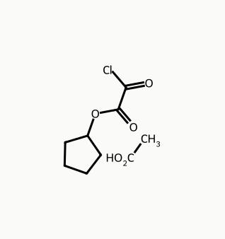 CC(=O)O.O=C(Cl)C(=O)OC1CCCC1